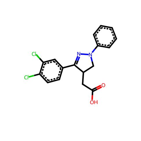 O=C(O)CC1CN(c2ccccc2)N=C1c1ccc(Cl)c(Cl)c1